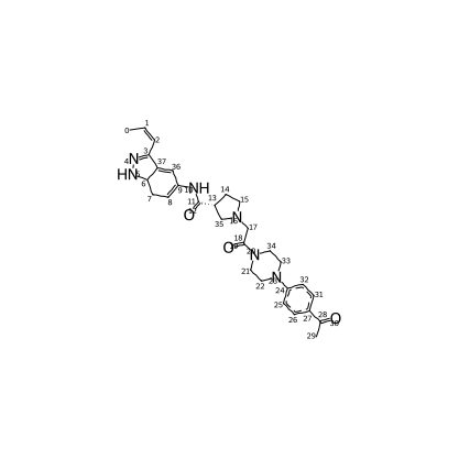 C/C=C\C1=NNC2CC=C(NC(=O)[C@@H]3CCN(CC(=O)N4CCN(c5ccc(C(C)=O)cc5)CC4)C3)C=C12